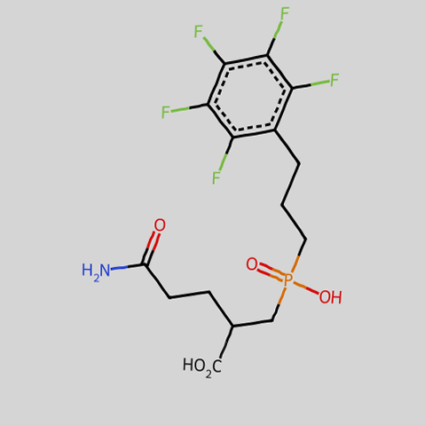 NC(=O)CCC(CP(=O)(O)CCCc1c(F)c(F)c(F)c(F)c1F)C(=O)O